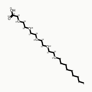 CCCCCCCCCOCCOCCOCCOCCOCC(=O)O